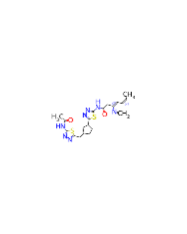 C=N/C(=C\C=C/C)CC(=O)Nc1nnc(C2CCC(Cc3nnc(NC(C)=O)s3)C2)s1